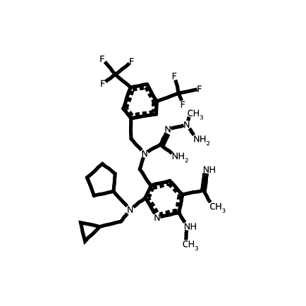 CNc1nc(N(CC2CC2)C2CCCC2)c(CN(Cc2cc(C(F)(F)F)cc(C(F)(F)F)c2)/C(N)=N/N(C)N)cc1C(C)=N